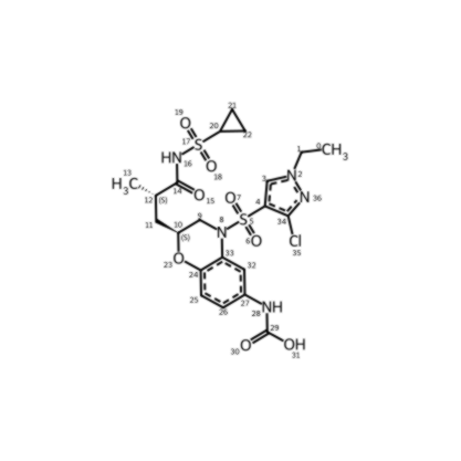 CCn1cc(S(=O)(=O)N2C[C@H](C[C@H](C)C(=O)NS(=O)(=O)C3CC3)Oc3ccc(NC(=O)O)cc32)c(Cl)n1